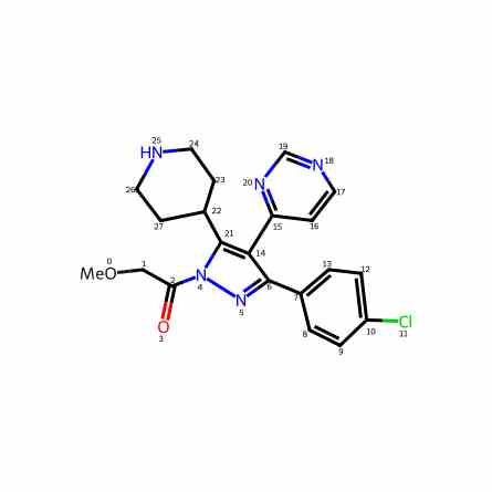 COCC(=O)n1nc(-c2ccc(Cl)cc2)c(-c2ccncn2)c1C1CCNCC1